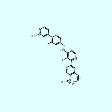 C=Nc1cnc(-c2ncnc(NCc3cnc(-c4ccnc(C)c4)c(F)c3)c2F)cc1/C=C\C